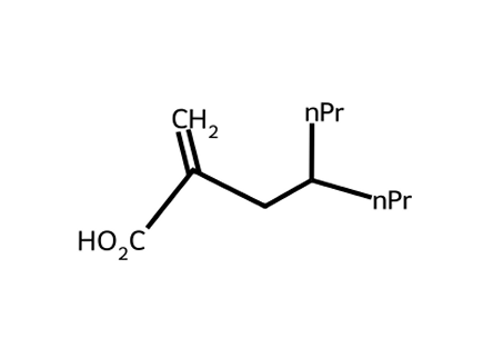 C=C(CC(CCC)CCC)C(=O)O